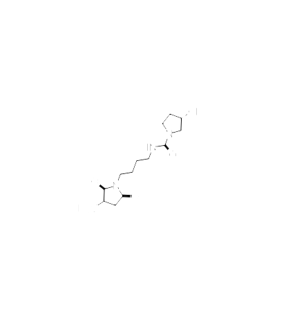 CC1CC(=O)N(CCCCNC(=O)N2CC[C@@H](C)C2)C1=O